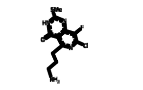 CSc1nc2c(F)c(Cl)nc(CCCN)c2c(=O)[nH]1